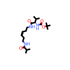 CC(C)C(=O)NCC/C=C\CCNC(=O)[C@@H](NC(=O)OC(C)(C)C)C(C)C